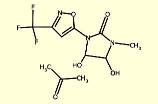 CC(C)=O.CN1C(=O)N(c2cc(C(F)(F)F)no2)C(O)C1O